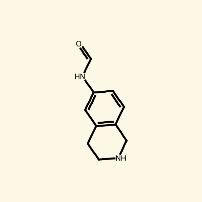 O=CNc1ccc2c(c1)CCNC2